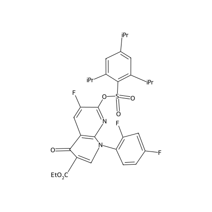 CCOC(=O)c1cn(-c2ccc(F)cc2F)c2nc(OS(=O)(=O)c3c(C(C)C)cc(C(C)C)cc3C(C)C)c(F)cc2c1=O